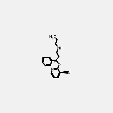 CCCNCC[C@@H](Oc1ncccc1C#N)c1ccccc1